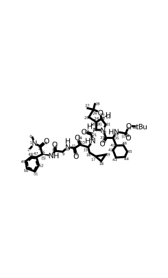 CN(C)C(=O)[C@@H](NC(=O)CNC(=O)C(=O)C(CC1CC1)NC(=O)[C@@H]1[C@H]2CC(C)(C)O[C@H]2CN1C(=O)C(NC(=O)OC(C)(C)C)C1CCCCC1)c1ccccc1